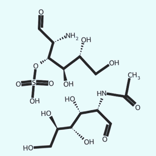 CC(=O)N[C@H](C=O)[C@@H](O)[C@H](O)[C@H](O)CO.N[C@@H](C=O)[C@@H](OS(=O)(=O)O)[C@H](O)[C@H](O)CO